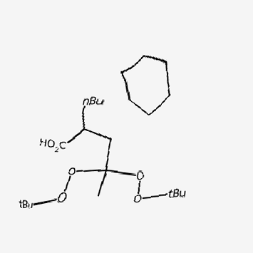 C1CCCCC1.CCCCC(CC(C)(OOC(C)(C)C)OOC(C)(C)C)C(=O)O